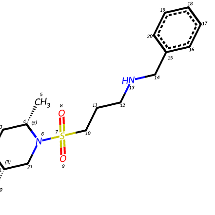 C[C@@H]1CC[C@H](C)N(S(=O)(=O)CCCNCc2ccccc2)C1